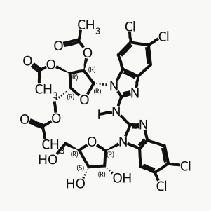 CC(=O)OC[C@H]1O[C@@H](n2c(N(I)c3nc4cc(Cl)c(Cl)cc4n3[C@@H]3O[C@H](CO)[C@@H](O)[C@H]3O)nc3cc(Cl)c(Cl)cc32)[C@H](OC(C)=O)[C@@H]1OC(C)=O